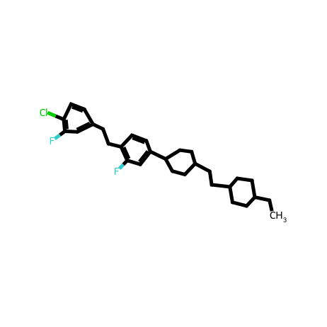 CCC1CCC(CCC2CCC(c3ccc(CCc4ccc(Cl)c(F)c4)c(F)c3)CC2)CC1